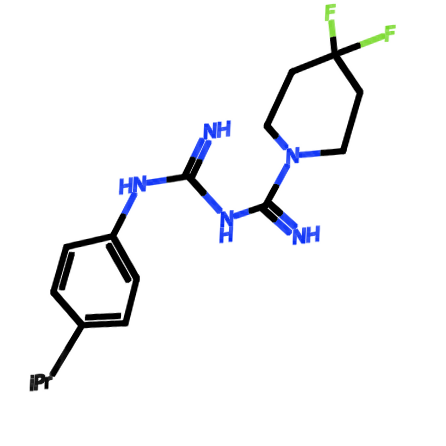 CC(C)c1ccc(NC(=N)NC(=N)N2CCC(F)(F)CC2)cc1